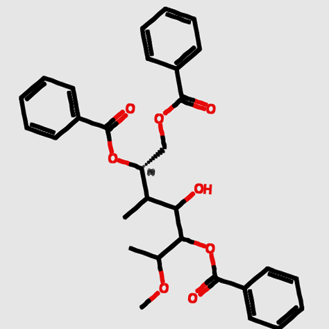 COC(C)C(OC(=O)c1ccccc1)C(O)C(C)[C@@H](COC(=O)c1ccccc1)OC(=O)c1ccccc1